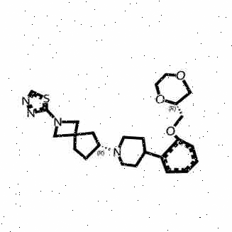 c1ccc(C2CCN([C@@H]3CCC4(C3)CN(c3nncs3)C4)CC2)c(OC[C@H]2COCCO2)c1